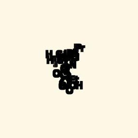 CCC1(O)C(=O)OCc2c1cc1n(c2=O)Cc2c-1nc1ccc(C(C)C)cc1c2[Si](C)(C)C(C)(C)C